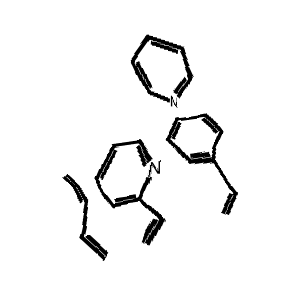 C=CC=C.C=Cc1ccccc1.C=Cc1ccccn1.c1ccncc1